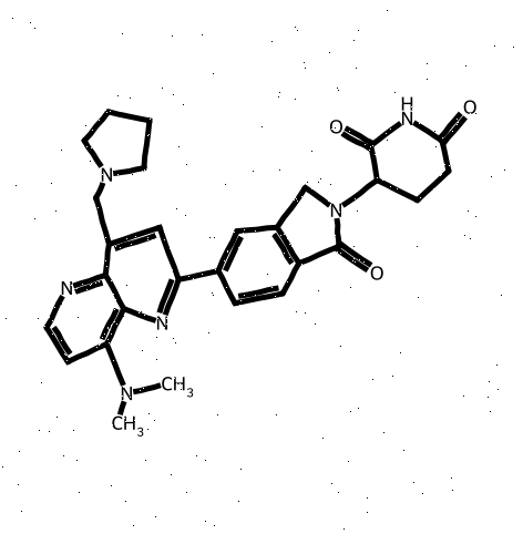 CN(C)c1ccnc2c(CN3CCCC3)cc(-c3ccc4c(c3)CN(C3CCC(=O)NC3=O)C4=O)nc12